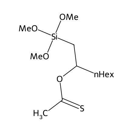 CCCCCCC(C[Si](OC)(OC)OC)OC(C)=S